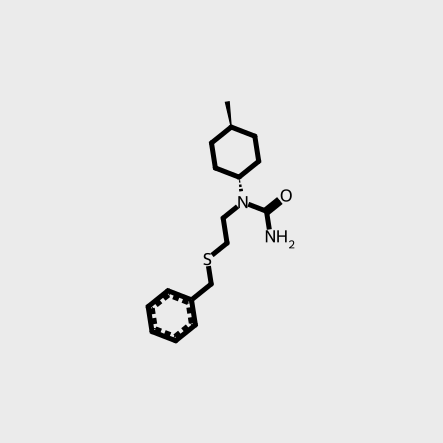 C[C@H]1CC[C@H](N(CCSCc2ccccc2)C(N)=O)CC1